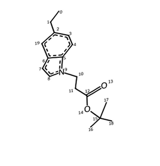 CCc1ccc2c(ccn2CCC(=O)OC(C)(C)C)c1